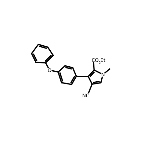 CCOC(=O)c1c(-c2ccc(Oc3ccccc3)cc2)c(C#N)cn1C